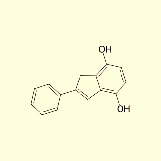 Oc1ccc(O)c2c1C=C(c1ccccc1)C2